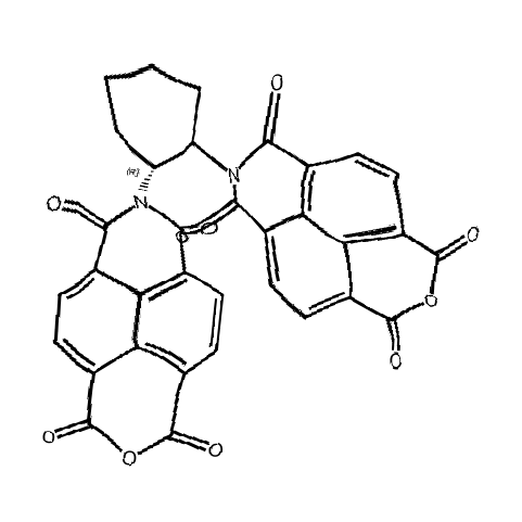 O=C1OC(=O)c2ccc3c4c(ccc1c24)C(=O)N(C1CCCC[C@H]1N1C(=O)c2ccc4c5c(ccc(c25)C1=O)C(=O)OC4=O)C3=O